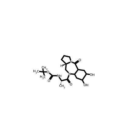 C[C@H](NC(=O)OC(C)(C)C)C(=O)N1C[C@@H]2CCCN2C(=O)C2CC(O)C(O)CC21